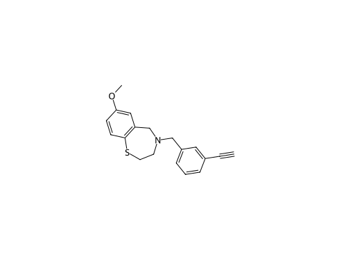 C#Cc1cccc(CN2CCSc3ccc(OC)cc3C2)c1